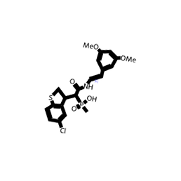 COc1cc(/C=C/NC(=O)C(C2CSc3ccc(Cl)cc32)P(C)(=O)O)cc(OC)c1